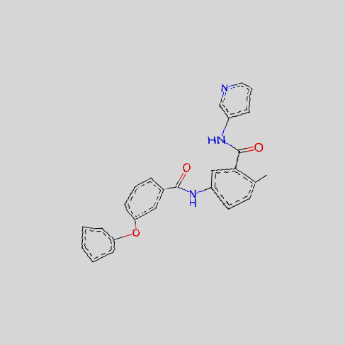 Cc1ccc(NC(=O)c2cccc(Oc3ccccc3)c2)cc1C(=O)Nc1cccnc1